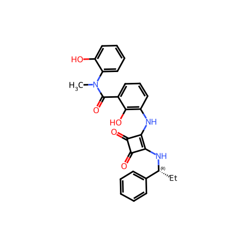 CC[C@@H](Nc1c(Nc2cccc(C(=O)N(C)c3ccccc3O)c2O)c(=O)c1=O)c1ccccc1